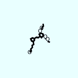 CCOCOc1cc(/C=C/c2cccc(CCCCC=O)c2)cc(OCOCC)c1